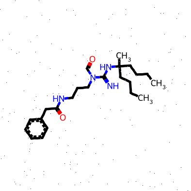 CCCCC(C)(CCCC)NC(=N)N(C=O)CCCNC(=O)Cc1ccccc1